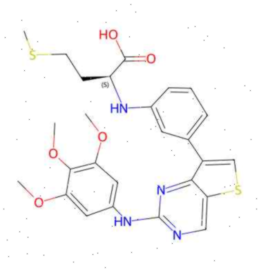 COc1cc(Nc2ncc3scc(-c4cccc(N[C@@H](CCSC)C(=O)O)c4)c3n2)cc(OC)c1OC